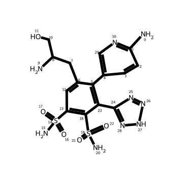 Nc1ccc(-c2c(CC(N)CO)cc(S(N)(=O)=O)c(S(N)(=O)=O)c2-c2nn[nH]n2)cn1